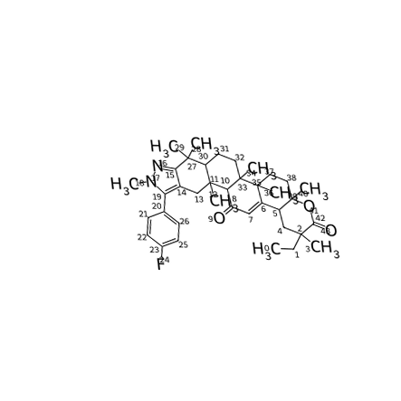 CCC1(C)CC2C3=CC(=O)C4C5(C)Cc6c(nn(C)c6-c6ccc(F)cc6)C(C)(C)C5CCC4(C)C3(C)CCC2(C)OC1=O